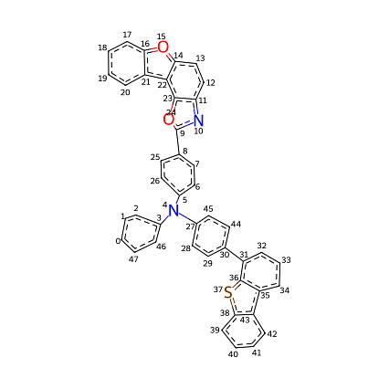 c1ccc(N(c2ccc(-c3nc4ccc5oc6ccccc6c5c4o3)cc2)c2ccc(-c3cccc4c3sc3ccccc34)cc2)cc1